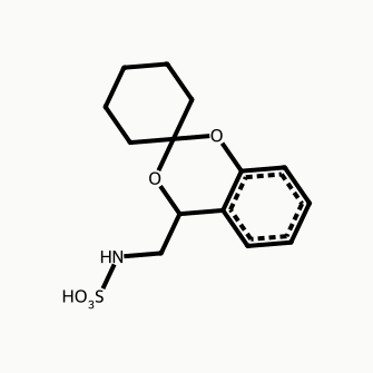 O=S(=O)(O)NCC1OC2(CCCCC2)Oc2ccccc21